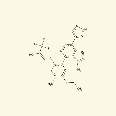 CCSc1cc(-c2ncc(-c3cn[nH]c3)c3onc(N)c23)c(F)cc1N.O=C(O)C(F)(F)F